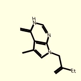 C=C(CC)Cn1cc(C)c2c1N=CNC2=C